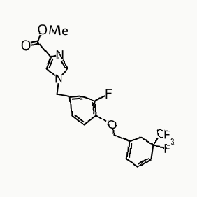 COC(=O)c1cn(Cc2ccc(OCC3=CC=CC(F)(C(F)(F)F)C3)c(F)c2)cn1